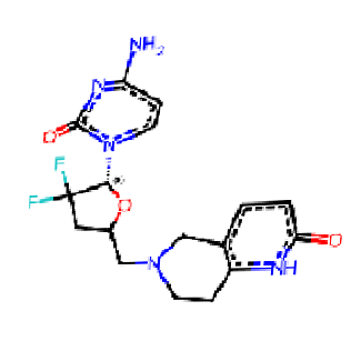 Nc1ccn([C@@H]2OC(CN3CCc4[nH]c(=O)ccc4C3)CC2(F)F)c(=O)n1